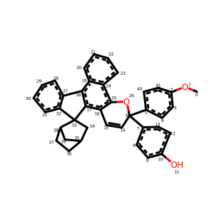 COc1ccc(C2(c3ccc(O)cc3)C=Cc3c4c(c5ccccc5c3O2)-c2ccccc2C42CC3CCC2C3)cc1